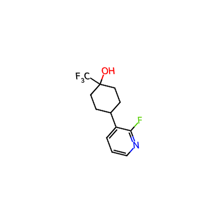 OC1(C(F)(F)F)CCC(c2cccnc2F)CC1